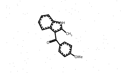 COc1ccc(C(=O)c2c(C)[nH]c3ccccc23)cc1